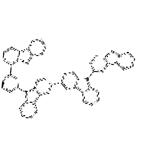 c1cc(-c2cccc3c2sc2ccccc23)cc(-n2c3ccccc3c3cc(-c4ccc5c(c4)c4ccccc4n5-c4ccc5sc6ccccc6c5c4)ccc32)c1